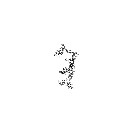 CC1(C)CCC(CN2CCN(c3ccc(C(=O)NS(=O)(=O)c4ccc(NCC5CCCN(CCOCC#Cc6cccc7c6C(=O)N(C6CCC(=O)NC6=O)C7)C5)c([N+](=O)[O-])c4)c(Oc4cnc5[nH]ccc5c4)c3)CC2)=C(c2ccc(Cl)cc2)C1